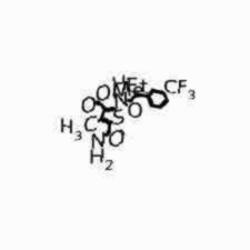 CCC(C(=O)Nc1sc(C(N)=O)c(C)c1C(=O)OC)c1cccc(C(F)(F)F)c1